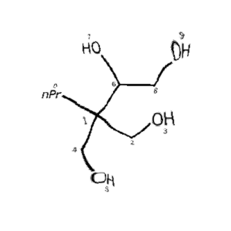 CCCC(CO)(CO)C(O)CO